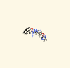 Cc1cnc(C)c(OC2CC(c3cc(NC(=O)Cc4cccc5ccccc45)n[nH]3)C2)n1